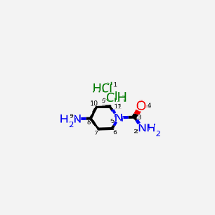 Cl.Cl.NC(=O)N1CCC(N)CC1